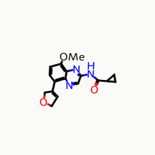 COc1ccc(C2=CCOC2)c2ncc(NC(=O)C3CC3)nc12